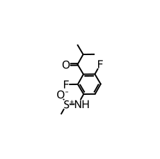 CC(C)C(=O)c1c(F)ccc(N[S+](C)[O-])c1F